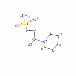 CS(=O)(=O)CCC(=O)N1CCCCC1